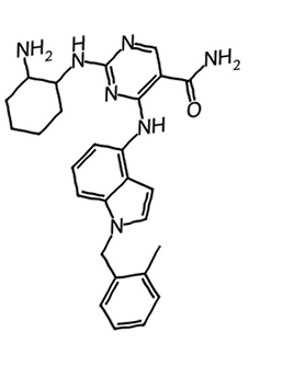 Cc1ccccc1Cn1ccc2c(Nc3nc(NC4CCCCC4N)ncc3C(N)=O)cccc21